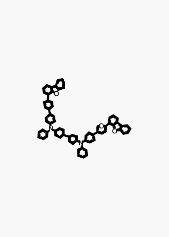 c1ccc(N(c2ccc(-c3ccc(-c4cccc5c4oc4ccccc45)cc3)cc2)c2ccc(-c3ccc(N(c4ccccc4)c4ccc(-c5ccc(-c6cccc7c6oc6ccccc67)cc5)cc4)cc3)cc2)cc1